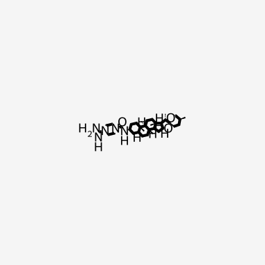 C[C@H]1CC[C@@]2(OC1)O[C@H]1C[C@H]3[C@@H]4CC[C@@H]5C[C@H](NC(=O)N6CCN(C(=N)N)CC6)CC[C@]5(C)[C@H]4CC[C@]3(C)[C@H]1[C@@H]2C